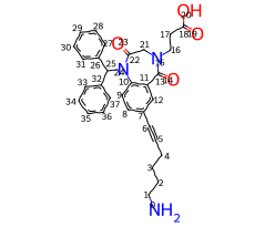 NCCCCC#Cc1ccc2c(c1)C(=O)N(CCC(=O)O)CC(=O)N2C(c1ccccc1)c1ccccc1